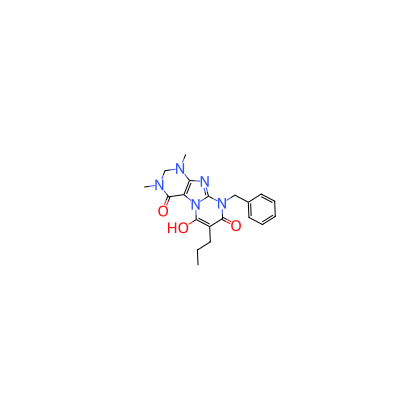 CCCc1c(O)n2c3c(nc2n(Cc2ccccc2)c1=O)N(C)CN(C)C3=O